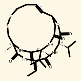 C/C=C1\NC(=O)[C@H]2CSSCC/C=C/C(CC(=O)N[C@@H](C(C)C)C(=O)N2)OC(=O)[C@H](C(C)C)NC1=O